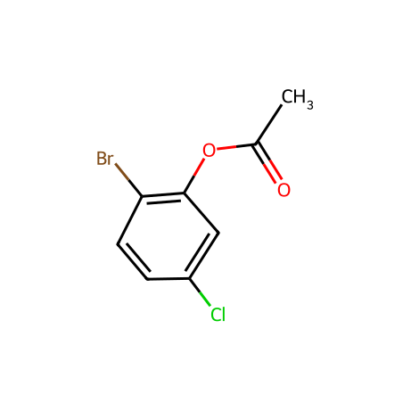 CC(=O)Oc1cc(Cl)ccc1Br